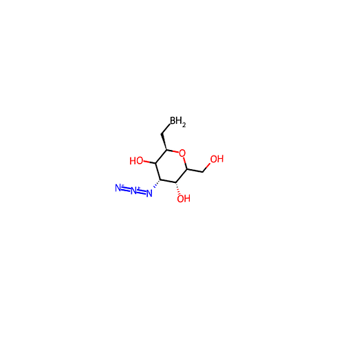 BC[C@H]1OC(CO)[C@H](O)[C@H](N=[N+]=[N-])C1O